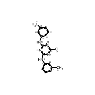 Cc1cccc(Nc2nc(Cl)nc(Nc3cccc(C)c3)n2)c1